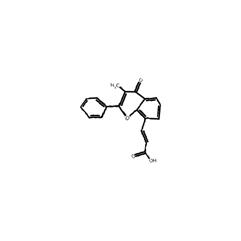 Cc1c(-c2ccccc2)oc2c(/C=C/C(=O)O)cccc2c1=O